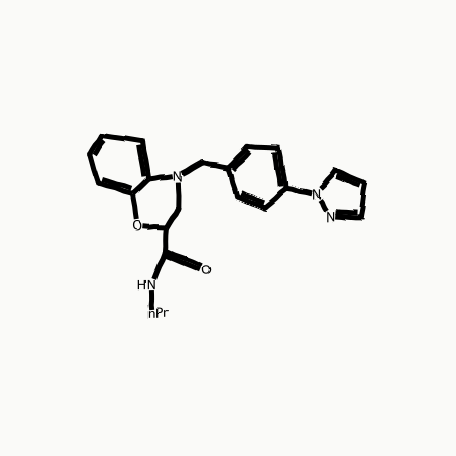 CCCNC(=O)C1CN(Cc2ccc(-n3cccn3)cc2)c2ccccc2O1